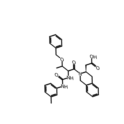 Cc1cccc(NC(=O)NC(C(=O)N2Cc3ccccc3C[C@@H]2CC(=O)O)C(C)OCc2ccccc2)c1